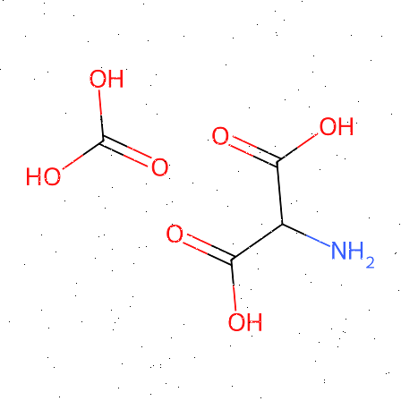 NC(C(=O)O)C(=O)O.O=C(O)O